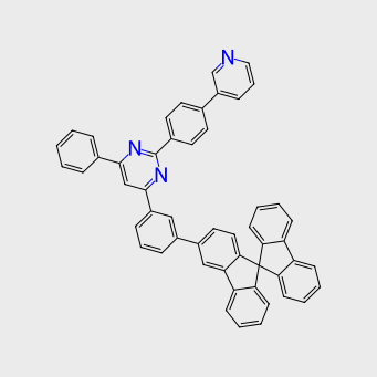 c1ccc(-c2cc(-c3cccc(-c4ccc5c(c4)-c4ccccc4C54c5ccccc5-c5ccccc54)c3)nc(-c3ccc(-c4cccnc4)cc3)n2)cc1